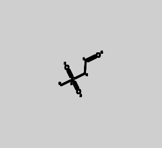 CS(=O)(=O)CC=O